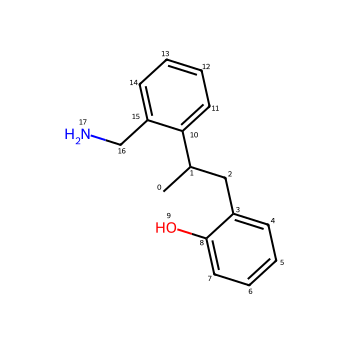 CC(Cc1ccccc1O)c1ccccc1CN